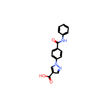 O=C(O)c1cnn(-c2ccc(C(=O)Nc3ccccc3)cc2)c1